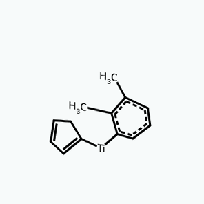 Cc1ccc[c]([Ti][C]2=CC=CC2)c1C